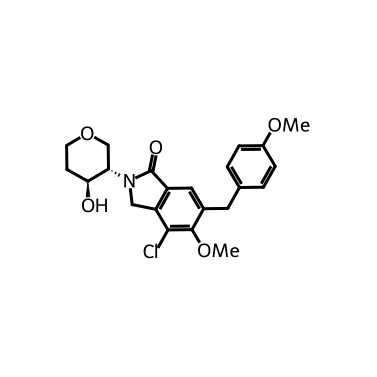 COc1ccc(Cc2cc3c(c(Cl)c2OC)CN([C@H]2COCC[C@@H]2O)C3=O)cc1